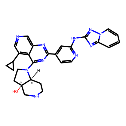 O[C@]12CCN(c3nc(-c4ccnc(Nc5nc6ccccn6n5)c4)nc4cncc(C5CC5)c34)[C@H]1CCNC2